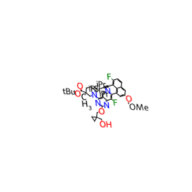 COCOc1cc(-c2ncc3c(N4CCCC(C)(C(=O)OC(C)(C)C)C4)nc(OCC4(CO)CC4)nc3c2F)c2c(C#C[Si](C(C)C)(C(C)C)C(C)C)c(F)ccc2c1